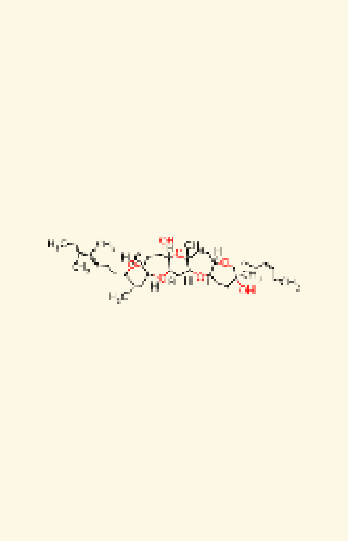 C=C/C=C\CC[C@H]1O[C@H]2CC[C@@]3(C)O[C@H]4[C@@H](O)C[C@@]5(C)O[C@@H](CC/C=C(C)/C(C)=C/C)[C@@H](C)C[C@@H]5O[C@@H]4C[C@@H]3O[C@@H]2CC[C@]1(C)O